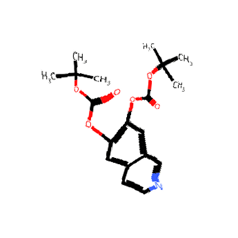 CC(C)(C)OC(=O)Oc1cc2ccncc2cc1OC(=O)OC(C)(C)C